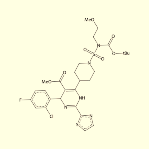 COCCN(C(=O)OC(C)(C)C)S(=O)(=O)N1CCC(C2=C(C(=O)OC)C(c3ccc(F)cc3Cl)N=C(c3nccs3)N2)CC1